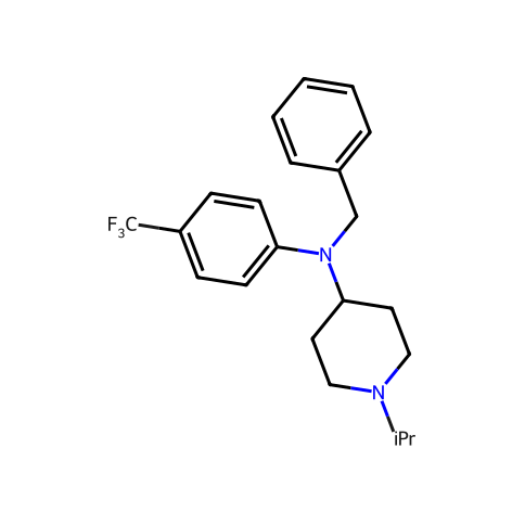 CC(C)N1CCC(N(Cc2ccccc2)c2ccc(C(F)(F)F)cc2)CC1